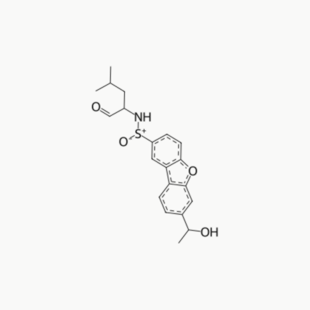 CC(C)CC(C=O)N[S+]([O-])c1ccc2oc3cc(C(C)O)ccc3c2c1